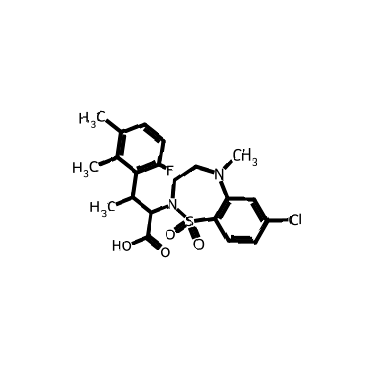 Cc1ccc(F)c(C(C)C(C(=O)O)N2CCN(C)c3cc(Cl)ccc3S2(=O)=O)c1C